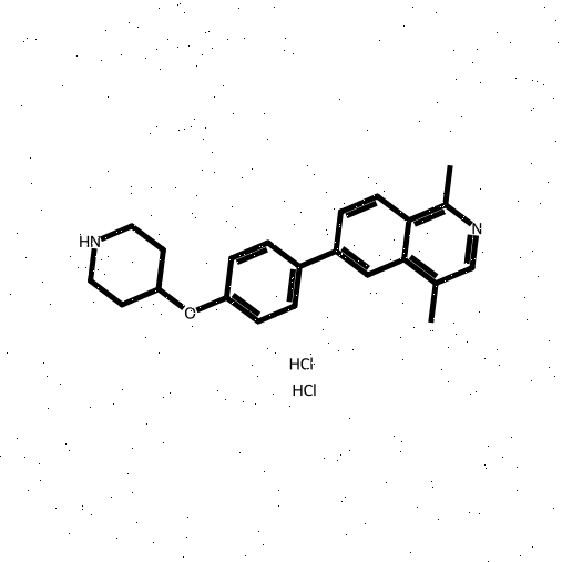 Cc1cnc(C)c2ccc(-c3ccc(OC4CCNCC4)cc3)cc12.Cl.Cl